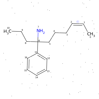 C/C=C\CCCC(N)(CCC)c1ccccc1